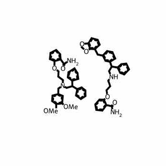 COc1ccc(CN(CCCOc2ccccc2C(N)=O)CC(c2ccccc2)c2ccccc2)cc1OC.NC(=O)c1ccccc1OCCCNCC(c1ccccc1)c1cccc(Cc2cccc3c2OCO3)c1